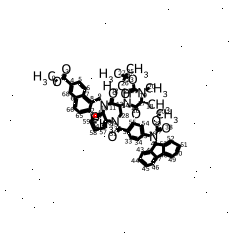 COC(=O)c1ccc2c(CN3C(=O)[C@@H](NC(=O)[C@H](C)N(C)C(=O)OC(C)(C)C)CN(C(=O)c4ccc(N(C(=O)OC)C5c6ccccc6-c6ccccc65)cc4)c4ccccc43)c(OC)ccc2c1